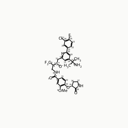 COc1cc(C(=O)NCC([S+]([O-])Cc2cc(C(C)(C)N)cc(-c3ccc(F)c(Cl)c3)n2)C(F)(F)F)ccc1O[C@H]1CCNC1=O